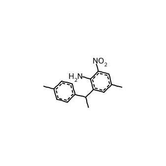 Cc1ccc(C(C)c2cc(C)cc([N+](=O)[O-])c2N)cc1